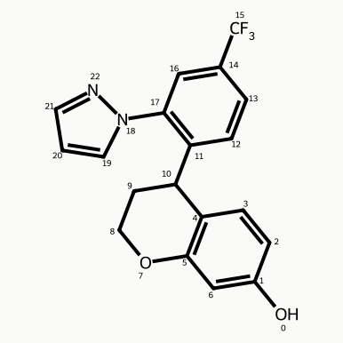 Oc1ccc2c(c1)OCCC2c1ccc(C(F)(F)F)cc1-n1cccn1